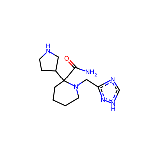 NC(=O)C1(C2CCNC2)CCCCN1Cc1nc[nH]n1